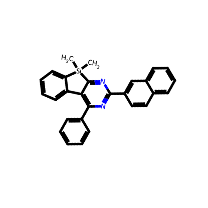 C[Si]1(C)c2ccccc2-c2c(-c3ccccc3)nc(-c3ccc4ccccc4c3)nc21